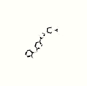 N=C(N)N1CC[C@@H](c2nc(-c3ccc(Nc4ccccc4Cl)nc3)no2)C1